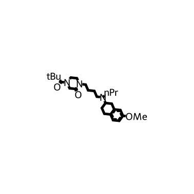 CCCN(CCCCN1CCN(C(=O)C(C)(C)C)CC1=O)C1CCc2ccc(OC)cc2C1